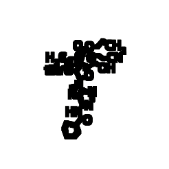 C=CCOP(=O)(OCCC#N)O[C@H]1C(O[Si](C)(C)C(C)(C)C)[C@H](n2cnc3c(NC(=O)c4ccccc4)ncnc32)O[C@@H]1CO